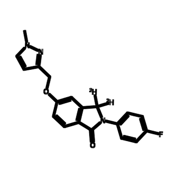 [2H]C1([2H])c2cc(OCc3ccn(C)n3)ccc2C(=O)N1c1ccc(F)cc1